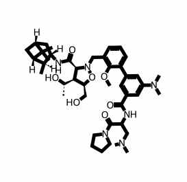 COc1c(CN2O[C@@H](CO)[C@@H]([C@H](C)O)[C@H]2C(=O)N[C@H]2C[C@H]3C[C@@H]([C@@H]2C)C3(C)C)cccc1-c1cc(C(=O)NC(CN(C)C)C(=O)N2CCCC2)cc(N(C)C)c1